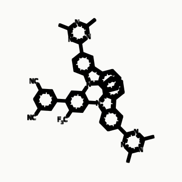 Cc1nc(C)nc(-c2ccc3c(c2)c2ccccc2n3-c2cc(-c3cc(C#N)cc(C#N)c3)c(C(F)(F)F)cc2-n2c3ccccc3c3cc(-c4nc(C)nc(C)n4)ccc32)n1